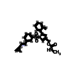 CNC(=O)OCc1cc(-c2ccccc2F)n(S(=O)(=O)c2cccc(/C=C/C3CC3)c2)c1